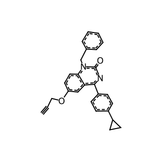 C#CCOc1ccc2c(c1)c(-c1ccc(C3CC3)cc1)nc(=O)n2Cc1ccccc1